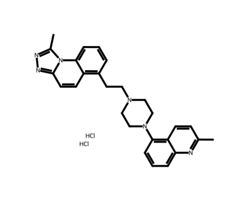 Cc1ccc2c(N3CCN(CCc4cccc5c4ccc4nnc(C)n45)CC3)cccc2n1.Cl.Cl